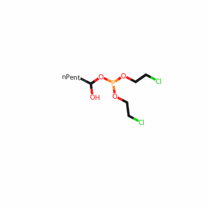 CCCCCC(O)OP(OCCCl)OCCCl